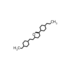 CCCC1CCC(C2=COC(CCC3CCC(CC)CC3)CC2)CC1